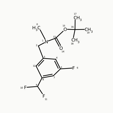 CN(Cc1cc(F)cc(C(F)F)c1)C(=O)OC(C)(C)C